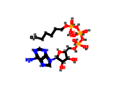 Nc1ncnc2c1ncn2[C@@H]1O[C@H](COP(=O)(O)OP(=O)(O)OP(=O)(O)OCCCCC[N+](=O)[O-])[C@@H](O)[C@H]1O